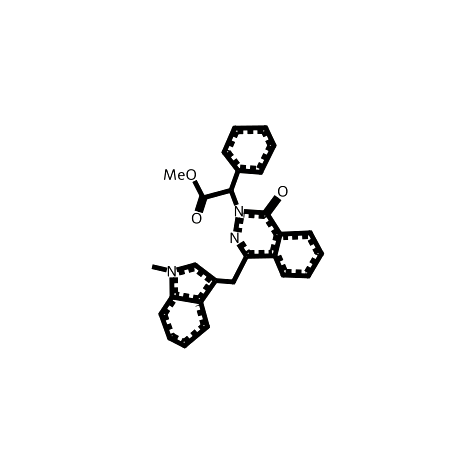 COC(=O)C(c1ccccc1)n1nc(Cc2cn(C)c3ccccc23)c2ccccc2c1=O